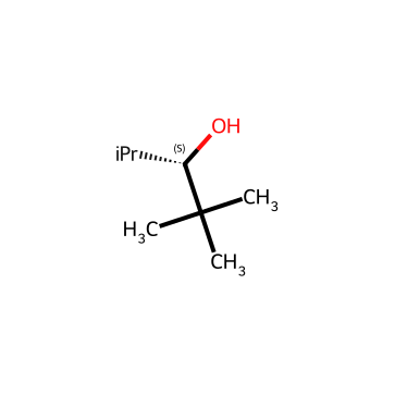 CC(C)[C@H](O)C(C)(C)C